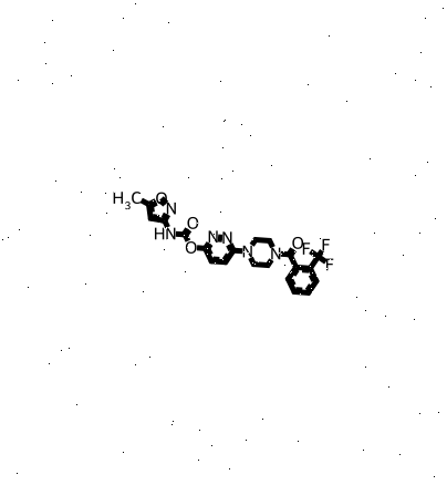 Cc1cc(NC(=O)Oc2ccc(N3CCN(C(=O)c4ccccc4C(F)(F)F)CC3)nn2)no1